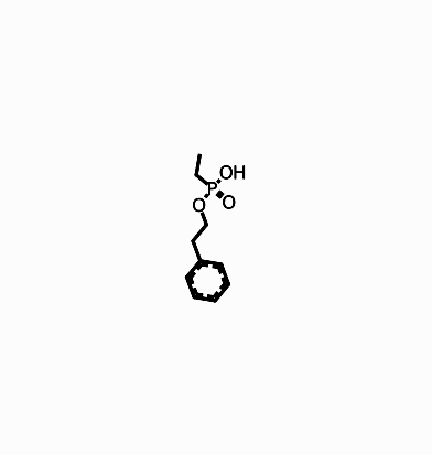 CCP(=O)(O)OCCc1ccccc1